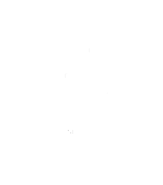 CC(N)c1csc(C(F)F)c1F